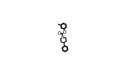 Cc1cccc(OC(=O)N2CCC(c3ccccc3)CC2)c1